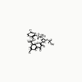 CONS(=O)(=O)c1nc(F)ccc1O[C@H](C)c1cc(C)cc2c(=O)c(C)c(-c3cnn(CC(C)(C)O)c3)oc12